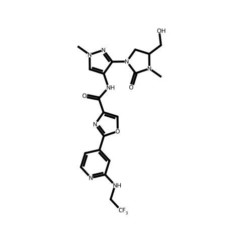 CN1C(=O)N(c2nn(C)cc2NC(=O)c2coc(-c3ccnc(NCC(F)(F)F)c3)n2)CC1CO